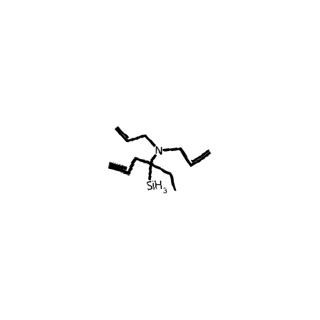 C=CCN(CC=C)C([SiH3])(CC)CC=C